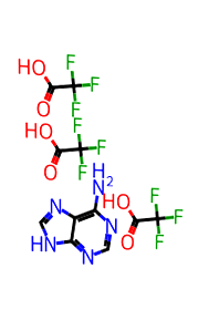 Nc1ncnc2[nH]cnc12.O=C(O)C(F)(F)F.O=C(O)C(F)(F)F.O=C(O)C(F)(F)F